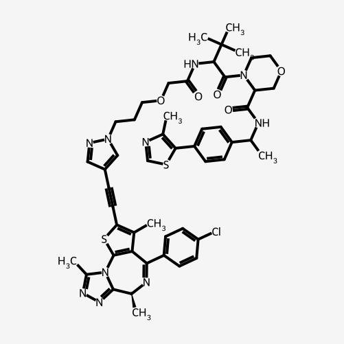 Cc1ncsc1-c1ccc(C(C)NC(=O)C2COCCN2C(=O)C(NC(=O)COCCCn2cc(C#Cc3sc4c(c3C)C(c3ccc(Cl)cc3)=N[C@@H](C)c3nnc(C)n3-4)cn2)C(C)(C)C)cc1